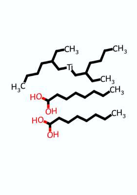 CCCCC(CC)[CH2][Ti][CH2]C(CC)CCCC.CCCCCCCC(O)O.CCCCCCCC(O)O